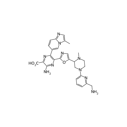 Cc1cnc2ccc(-c3nc(C(=O)O)c(N)nc3-c3ncc(C4CN(c5cccc(CN)n5)CCN4C)o3)cn12